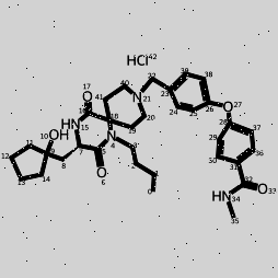 CCCCN1C(=O)[C@@H](CC2(O)CCCC2)NC(=O)C12CCN(Cc1ccc(Oc3ccc(C(=O)NC)cc3)cc1)CC2.Cl